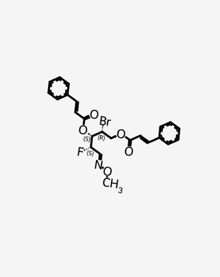 CON=C[C@H](F)[C@H](OC(=O)C=Cc1ccccc1)[C@H](Br)COC(=O)C=Cc1ccccc1